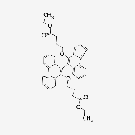 CCOC(=O)CCCOc1c(-c2c(OCCCC(=O)OCC)c3ccccc3c3ccccc23)c2ccccc2c2ccccc12